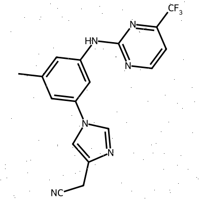 Cc1cc(Nc2nccc(C(F)(F)F)n2)cc(-n2cnc(CC#N)c2)c1